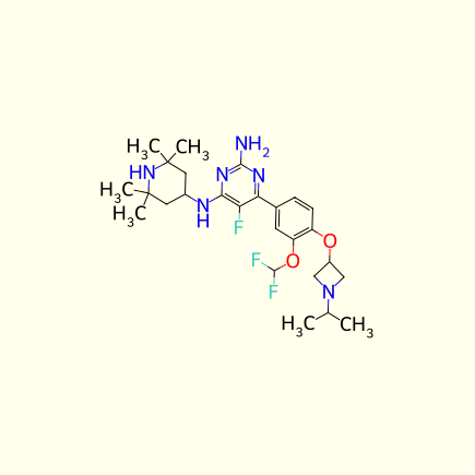 CC(C)N1CC(Oc2ccc(-c3nc(N)nc(NC4CC(C)(C)NC(C)(C)C4)c3F)cc2OC(F)F)C1